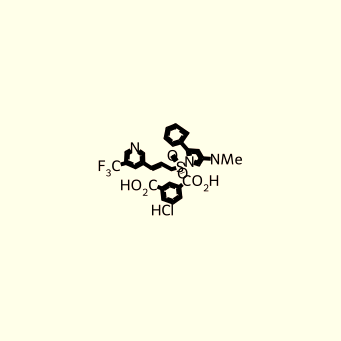 CNc1cc(-c2ccccc2)n(S(=O)(=O)CC=Cc2cncc(C(F)(F)F)c2)c1.Cl.O=C(O)c1cccc(C(=O)O)c1